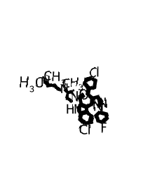 CN(C)CCCN(C)C1CCN(C(=O)c2[nH]c3cc(Cl)ccc3c2-c2c(Cc3ccc(Cl)cc3)cnn2-c2ccc(F)cc2)C1